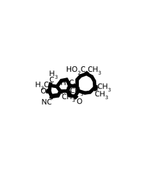 CC1(C)CCC2C(=O)C=C3[C@@]4(C)C=C(C#N)C(=O)C(C)(C)C4CC[C@@]3(C)[C@]2(C)CC[C@@](C)(C(=O)O)CC1